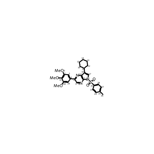 COc1cc(-c2cnc3c(n2)c(C2CCCCC2)cn3S(=O)(=O)c2ccc(C)cc2)cc(OC)c1OC